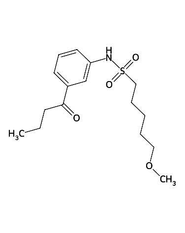 CCCC(=O)c1cccc(NS(=O)(=O)CCCCCOC)c1